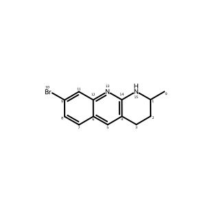 CC1CCc2cc3ccc(Br)cc3nc2N1